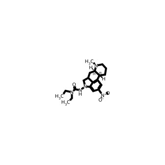 CCN(CC)C(=O)NN1CC2C[C@@H]3[C@H](CCCN3C)c3cc([N+](=O)[O-])cc1c32